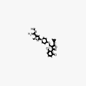 Cn1nc(N2CCC(OCc3c(-c4c(Cl)cccc4Cl)noc3C3CC3)CC2)cc1/C(N)=N/O